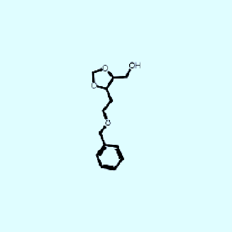 OCC1OCOC1CCOCc1ccccc1